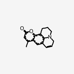 Cc1cc(=O)oc2c3c4c(cc12)C=CCN4CCC3